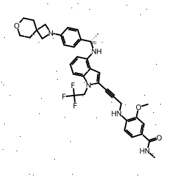 CNC(=O)c1ccc(NCC#Cc2cc3c(N[C@@H](C)c4ccc(N5CC6(CCOCC6)C5)cc4)cccc3n2CC(F)(F)F)c(OC)c1